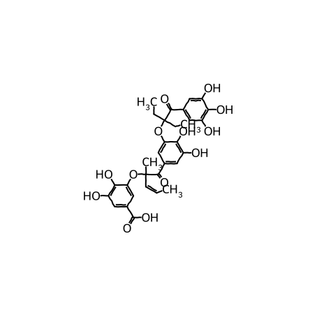 C/C=C\C(C)(Oc1cc(C(=O)O)cc(O)c1O)C(=O)c1cc(O)c(O)c(OC(CC)(CC)C(=O)c2cc(O)c(O)c(O)c2)c1